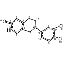 O=c1cc2c(c[nH]1)CN(c1ccc(Cl)c(Cl)c1)CC2